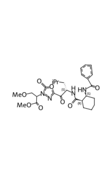 COCC(C(=O)OC)n1nc(C(=O)[C@H](CC(C)C)NC(=O)[C@@H]2CCCC[C@@H]2NC(=O)c2ccccc2)oc1=O